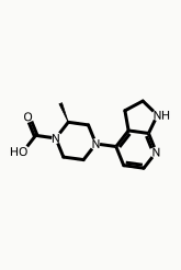 C[C@H]1CN(c2ccnc3c2CCN3)CCN1C(=O)O